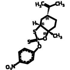 C=C(C)[C@@H]1CC[C@]2(C)OP(=S)(Oc3ccc([N+](=O)[O-])cc3)S[C@H]2C1